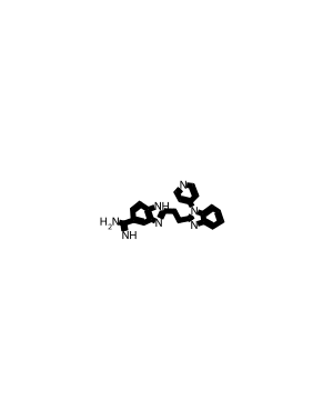 N=C(N)c1ccc2[nH]c(CCc3nc4ccccc4n3-c3ccncc3)nc2c1